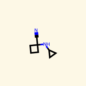 N#CC1(NC2CC2)CCC1